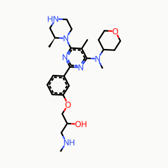 CNCC(O)COc1cccc(-c2nc(N(C)C3CCOCC3)c(C)c(N3CCNC[C@@H]3C)n2)c1